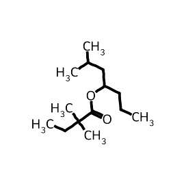 CCCC(CC(C)C)OC(=O)C(C)(C)CC